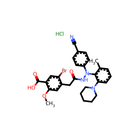 COc1cc(CC(=O)NN(c2ccc(C#N)cc2)c2c(C)cccc2N2CCCCC2)c(Br)cc1C(=O)O.Cl